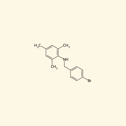 Cc1cc(C)c(NCc2ccc(Br)cc2)c(C)c1